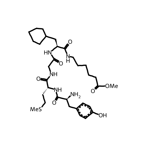 COC(=O)CCCCCNC(=O)[C@H](CC1CCCCC1)NC(=O)CNC(=O)[C@@H](CCSC)NC(=O)[C@@H](N)Cc1ccc(O)cc1